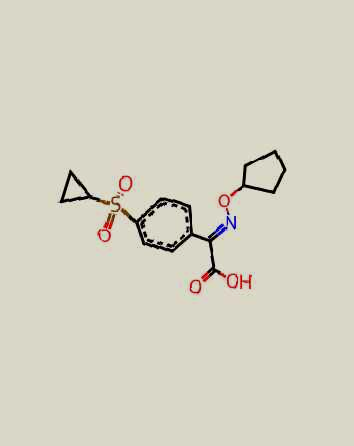 O=C(O)/C(=N/OC1CCCC1)c1ccc(S(=O)(=O)C2CC2)cc1